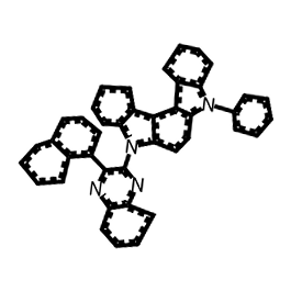 c1ccc(-n2c3ccccc3c3c4c5ccccc5n(-c5nc6ccccc6nc5-c5cccc6ccccc56)c4ccc32)cc1